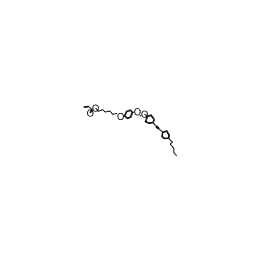 C=CC(=O)OCCCCCCOc1ccc(OCOc2ccc(C#Cc3ccc(CCCCC)cc3)cc2)cc1